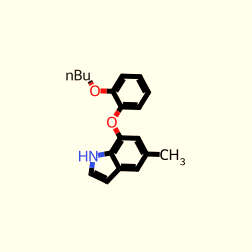 CCCCOc1ccccc1Oc1cc(C)cc2cc[nH]c12